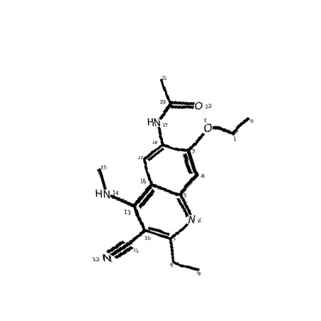 CCOc1cc2nc(CC)c(C#N)c(NC)c2cc1NC(C)=O